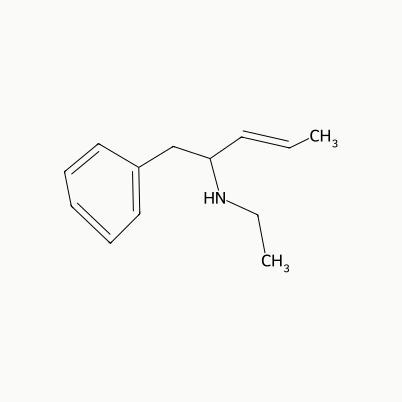 CC=CC(Cc1ccccc1)NCC